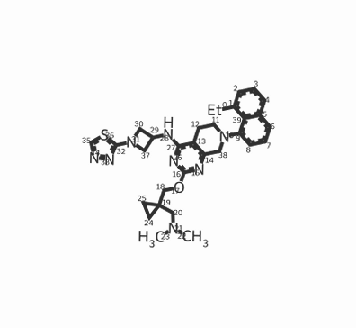 CCc1cccc2cccc(N3CCc4c(nc(OCC5(CN(C)C)CC5)nc4NC4CN(c5nncs5)C4)C3)c12